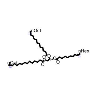 CCCCCC/C=C\CCCCCCCC(=O)OC[C@H](COC(=O)CCCCCCCCCCC/C=C\CCCCCCCC)OC(=O)CCCCCCCCC/C=C\CCCCCCCC